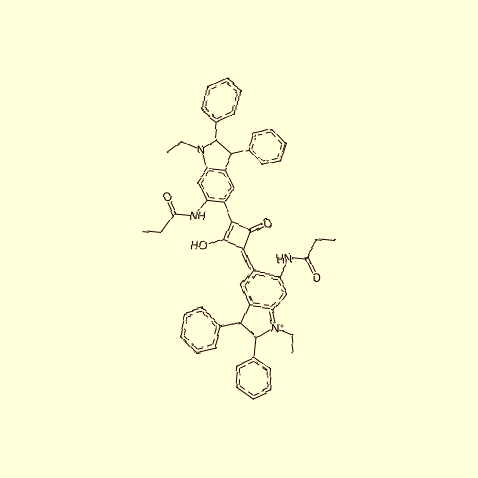 CCC(=O)Nc1cc2c(cc1C1=C(O)/C(=c3\cc4c(cc3NC(=O)CC)=[N+](CC)C(c3ccccc3)C4c3ccccc3)C1=O)C(c1ccccc1)C(c1ccccc1)N2CC